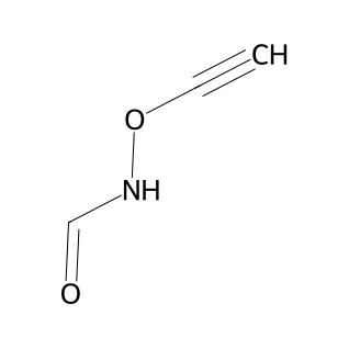 C#CONC=O